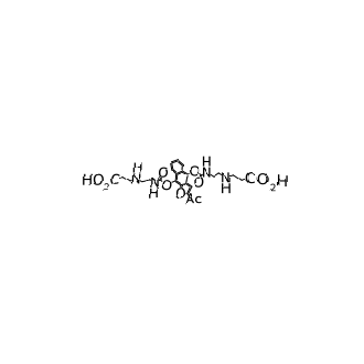 CC(=O)c1cc2c(OC(=O)NCCNCCC(=O)O)c3ccccc3c(OC(=O)NCCNCCC(=O)O)c2o1